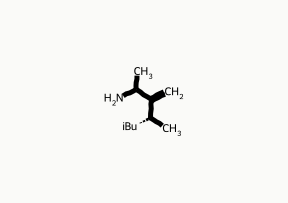 C=C(C(C)N)C(C)[C@@H](C)CC